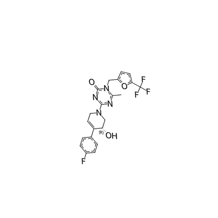 Cc1nc(N2CC=C(c3ccc(F)cc3)[C@@H](O)C2)nc(=O)n1Cc1ccc(C(F)(F)F)o1